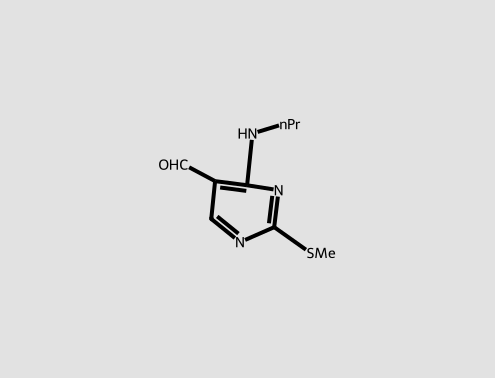 CCCNc1nc(SC)ncc1C=O